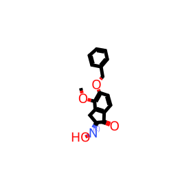 COc1c(OCc2ccccc2)ccc2c1C/C(=N\O)C2=O